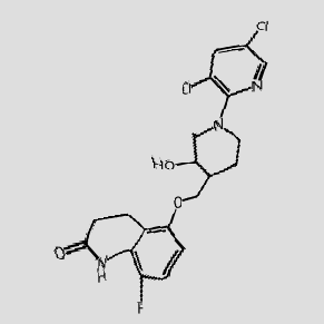 O=C1CCc2c(OCC3CCN(c4ncc(Cl)cc4Cl)CC3O)ccc(F)c2N1